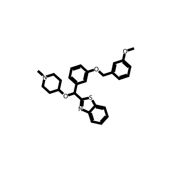 COc1cccc(COc2cccc(C(OC3CCN(C)CC3)c3nc4ccccc4s3)c2)c1